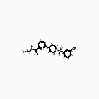 O=C(NCC(F)(F)F)c1cccc(C2=CCN(S(=O)(=O)c3cccc(C(F)(F)F)c3)CC2)n1